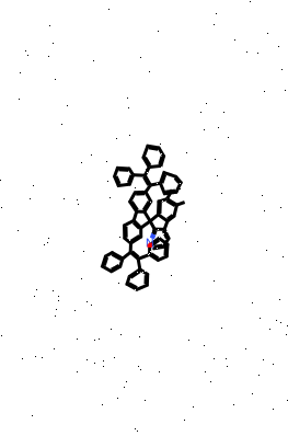 Cc1cc2c(cc1C)C1(c3cc(C(=C(c4ccccc4)c4ccccc4)c4ccccc4)ccc3-c3ccc(C(=C(c4ccccc4)c4ccccc4)c4ccccc4)cc31)c1ncccc1-2